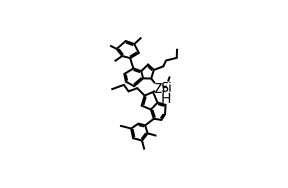 CCCCC1=Cc2c(-c3cc(C)cc(C)c3C)cccc2[CH]1[Zr]([CH]1C(CCCC)=Cc2c(-c3cc(C)cc(C)c3C)cccc21)[SiH](C)C